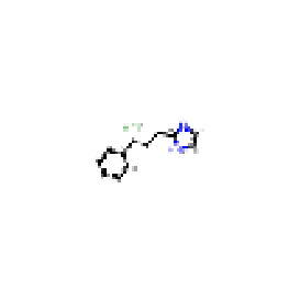 Cl.c1ccc(CCCc2ncc[nH]2)cc1